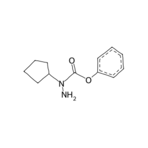 NN(C(=O)Oc1ccccc1)C1CCCC1